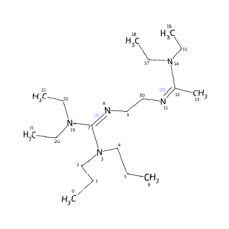 CCCN(CCC)/C(=N\CC/N=C(/C)N(CC)CC)N(CC)CC